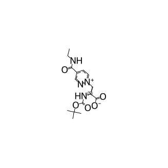 CCNC(=O)c1cc[n+](C[C@H](NC(=O)OC(C)(C)C)C(=O)[O-])nc1